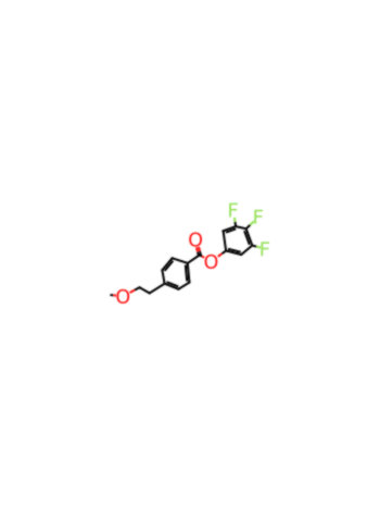 COCCc1ccc(C(=O)Oc2cc(F)c(F)c(F)c2)cc1